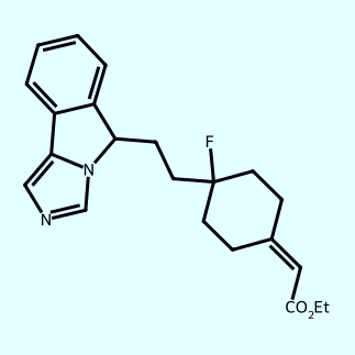 CCOC(=O)C=C1CCC(F)(CCC2c3ccccc3-c3cncn32)CC1